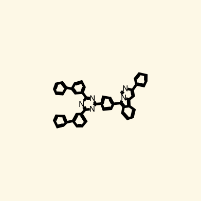 c1ccc(-c2cccc(-c3nc(-c4ccc(-c5c6ccccc6c6cc(-c7ccccc7)ncn56)cc4)nc(-c4cccc(-c5ccccc5)c4)n3)c2)cc1